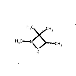 CC1NN(C)C1(C)C